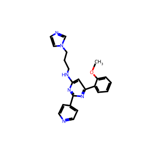 COc1ccccc1-c1cc(NCCCn2ccnc2)nc(-c2ccncc2)n1